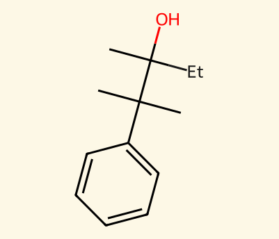 CCC(C)(O)C(C)(C)c1ccccc1